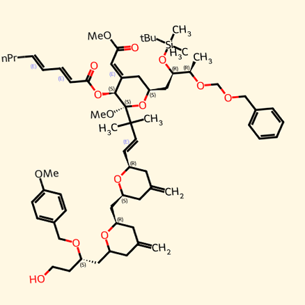 C=C1CC(C[C@H](CCO)OCc2ccc(OC)cc2)O[C@@H](C[C@@H]2CC(=C)C[C@H](/C=C/C(C)(C)[C@]3(OC)O[C@H](C[C@@H](O[Si](C)(C)C(C)(C)C)[C@@H](C)OCOCc4ccccc4)C/C(=C\C(=O)OC)[C@@H]3OC(=O)/C=C/C=C/CCC)O2)C1